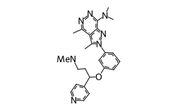 CNCCC(Oc1cccc(-n2nc3c(N(C)C)nnc(C)c3c2C)c1)c1ccncc1